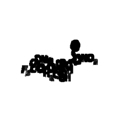 COC(=O)c1cc(C2CCN(C(=O)[C@@H](NC(=O)OCc3ccc([N+](=O)[O-])cc3CC34CCC(CC3)OC4)[C@@H](C)O)CC2)ccc1C(F)(F)F